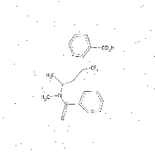 CC(CCC(F)(F)F)N(C)C(=O)c1ccccc1.O=C(O)c1ccccc1